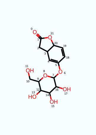 O=C1CC2C=C(OC3OC(CO)C(O)C(O)C3O)C=CC2O1